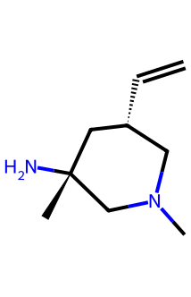 C=C[C@@H]1CN(C)C[C@](C)(N)C1